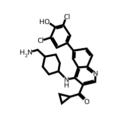 NCC1CCC(Nc2c(C(=O)C3CC3)cnc3ccc(-c4cc(Cl)c(O)c(Cl)c4)cc23)CC1